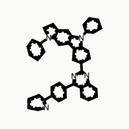 c1ccc(-n2ccc3cc4c(cc32)c2cc(-c3nc(-c5ccc(-c6ccccn6)cc5)c5ccccc5n3)ccc2n4-c2ccccc2)cc1